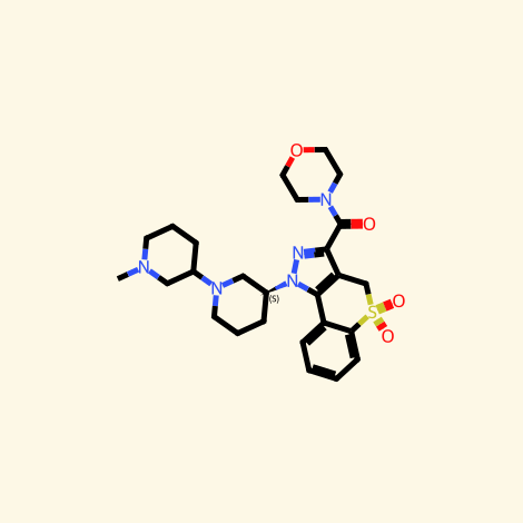 CN1CCCC(N2CCC[C@H](n3nc(C(=O)N4CCOCC4)c4c3-c3ccccc3S(=O)(=O)C4)C2)C1